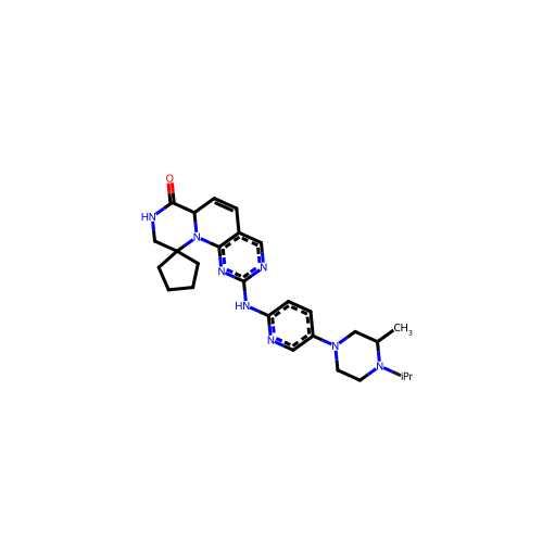 CC(C)N1CCN(c2ccc(Nc3ncc4c(n3)N3C(C=C4)C(=O)NCC34CCCC4)nc2)CC1C